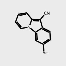 CC(=O)c1ccc2c(C#N)c3ccccn3c2c1